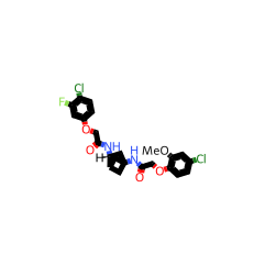 COc1cc(Cl)ccc1OCC(=O)NC12CC(C1)[C@@H](NC(=O)COc1ccc(Cl)c(F)c1)C2